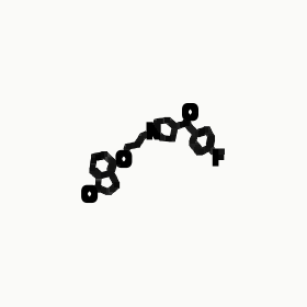 O=C1CCc2c(OCCCN3CCC(C(=O)c4ccc(F)cc4)CC3)cccc21